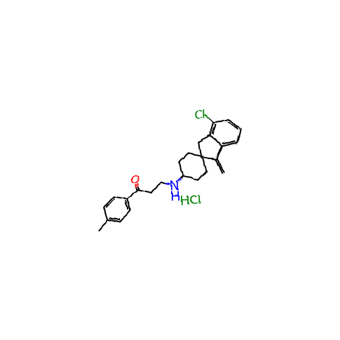 C=C1c2cccc(Cl)c2CC12CCC(NCCC(=O)c1ccc(C)cc1)CC2.Cl